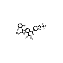 Cc1nn2c(C(C)C)c(C(=O)N3CCn4cc(C(F)(F)F)nc4C3)ccc2c1-c1c(F)cccc1F